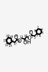 O=C(Cc1ccccc1)OCC(O)COC(=O)Cc1ccccc1